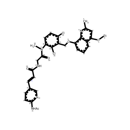 CCOc1cc(C)nc2c(OCc3c(Cl)ccc(N(C)C(=O)CNC(=O)/C=C/c4ccc(NC(C)=O)nc4)c3Cl)cccc12